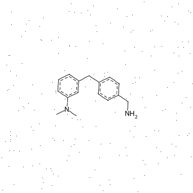 CN(C)c1[c]ccc(Cc2ccc(CN)cc2)c1